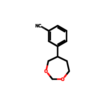 N#Cc1cccc(C2CCOCOC2)c1